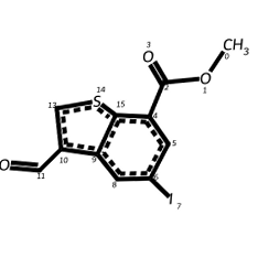 COC(=O)c1cc(I)cc2c(C=O)csc12